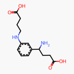 NC(CCC(=O)O)c1cccc(NCCCC(=O)O)c1